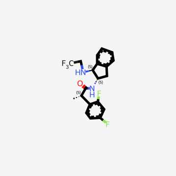 C[C@H](C(=O)N[C@H]1Cc2ccccc2[C@@H]1NCC(F)(F)F)c1ccc(F)cc1F